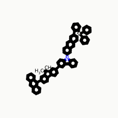 CC1(C)c2cc(-c3ccc4c(c3)c3ccccc3n4-c3ccc4cc5cc6c(cc5cc4c3)[Si](c3ccccc3)(c3ccccc3)c3ccccc3-6)ccc2-c2ccc(-c3c4ccccc4cc4ccccc34)cc21